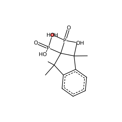 CC1(C)c2ccccc2C(C)(C)C1(P(=O)(O)O)P(=O)(O)O